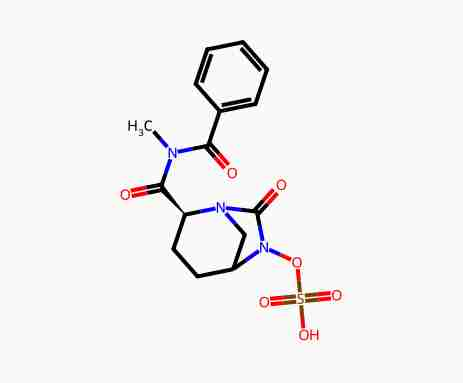 CN(C(=O)c1ccccc1)C(=O)[C@@H]1CCC2CN1C(=O)N2OS(=O)(=O)O